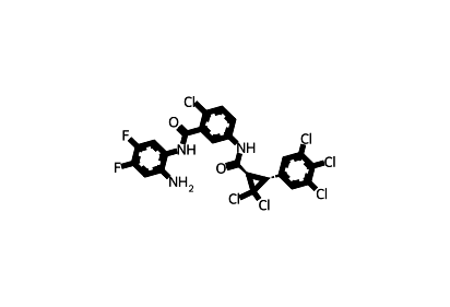 Nc1cc(F)c(F)cc1NC(=O)c1cc(NC(=O)[C@H]2[C@H](c3cc(Cl)c(Cl)c(Cl)c3)C2(Cl)Cl)ccc1Cl